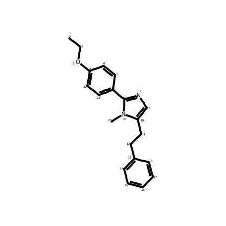 CCOc1ccc(-c2ncc(CCc3ccccc3)n2C)cc1